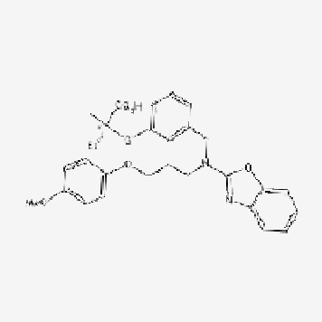 CC[C@@](C)(Oc1cccc(CN(CCCOc2ccc(OC)cc2)c2nc3ccccc3o2)c1)C(=O)O